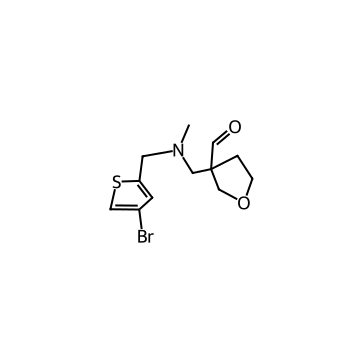 CN(Cc1cc(Br)cs1)CC1(C=O)CCOC1